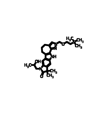 CC(O)CN1C(=O)C(C)(C)c2cc3[nH]c4c(c3cc21)CCCc1cn(COCC[Si](C)(C)C)nc1-4